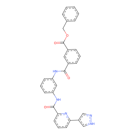 O=C(Nc1cccc(NC(=O)c2cccc(-c3cn[nH]c3)n2)c1)c1cccc(C(=O)OCc2ccccc2)c1